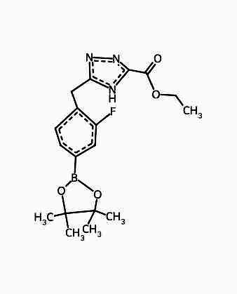 CCOC(=O)c1nnc(Cc2ccc(B3OC(C)(C)C(C)(C)O3)cc2F)[nH]1